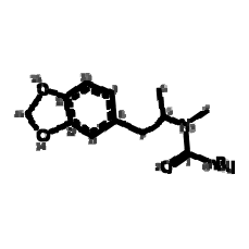 CCCCC(=O)N(C)C(C)Cc1ccc2c(c1)OCO2